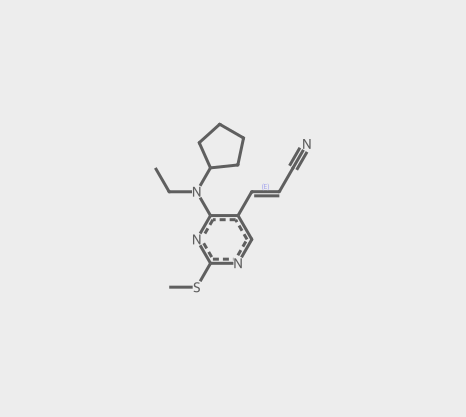 CCN(c1nc(SC)ncc1/C=C/C#N)C1CCCC1